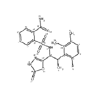 Cc1ccc(F)c(C(C)C(NS(=O)(=O)c2ccccc2C(N)=O)c2n[nH]c(=O)o2)c1C